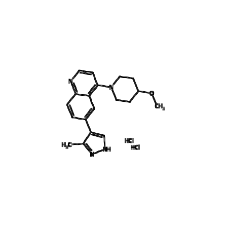 COC1CCN(c2ccnc3ccc(-c4c[nH]nc4C)cc23)CC1.Cl.Cl